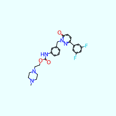 CN1CCN(CCOC(=O)Nc2cccc(Cn3nc(-c4cc(F)cc(F)c4)ccc3=O)c2)CC1